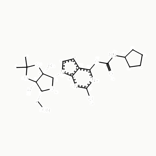 CC1(C)O[C@@H]2[C@H](O1)[C@@H](CO)O[C@H]2n1ccc2c(OC(=O)NC3CCCC3)nc(Cl)nc21